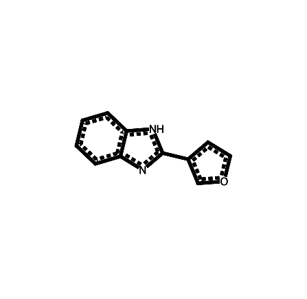 c1ccc2[nH]c(-c3ccoc3)nc2c1